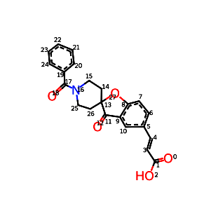 O=C(O)C=Cc1ccc2c(c1)C(=O)C1(CCN(C(=O)c3ccccc3)CC1)O2